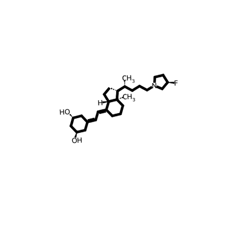 C[C@H](CCCN1CC[C@@H](F)C1)[C@H]1CC[C@H]2/C(=C/C=C3C[C@@H](O)C[C@H](O)C3)CCC[C@]12C